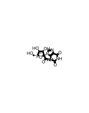 NC(=O)[C@@]1(n2cnc3c(=O)[nH]c(=O)[nH]c32)O[C@H](CO)[C@@H](O)[C@H]1O